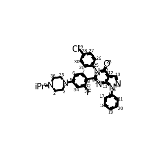 CC(C)N1CCN(c2ccc(-c3nc4c(cnn4-c4ccccc4)c(=O)n3-c3ccc(Cl)cc3)c(F)c2)CC1